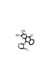 C1=CCSC=C1.N#Cc1sc2c(=O)c3ccccc3c(=O)c=2sc1C#N.P